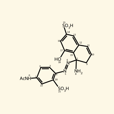 CC(=O)Nc1ccc(N=NC2(N)CC=Cc3cc(S(=O)(=O)O)cc(O)c32)c(S(=O)(=O)O)c1